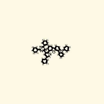 c1ccc(-c2cnc(-c3cccc4c3oc3c4ccc4c3c3ccccc3n4-c3ccccc3)c(-c3nc(-c4ccccc4)nc(-c4ccccc4)n3)c2)cc1